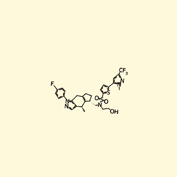 C[C@@H]1C2=C(CC[C@@H]2CN(CCO)S(=O)(=O)c2ccc(-c3cc(C(F)(F)F)nn3C)s2)Cc2c1cnn2-c1ccc(F)cc1